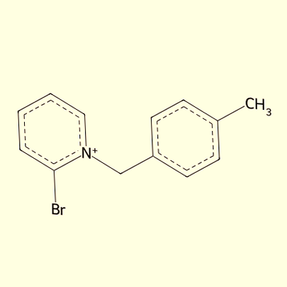 Cc1ccc(C[n+]2ccccc2Br)cc1